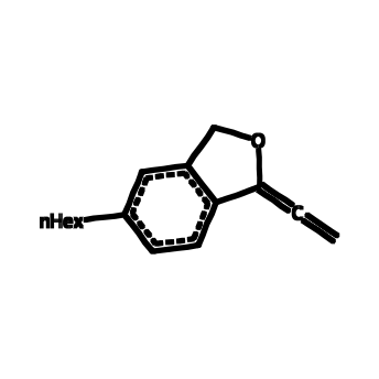 C=C=C1OCc2cc(CCCCCC)ccc21